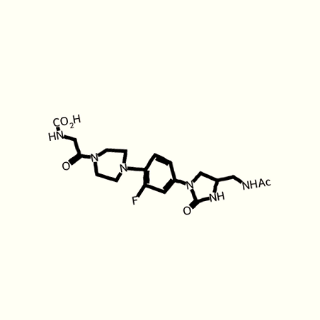 CC(=O)NCC1CN(c2ccc(N3CCN(C(=O)CNC(=O)O)CC3)c(F)c2)C(=O)N1